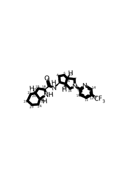 O=C(N[C@H]1CC[C@@H]2CN(c3ccc(C(F)(F)F)cn3)C[C@@H]21)[C@@H]1C[C@@H]2CCCC[C@@H]2N1